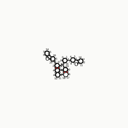 c1cc(-c2ccc3c(c2)oc2ccccc23)cc(N(c2cccc(-c3ccc4c(c3)oc3ccccc34)c2)c2ccccc2-c2cccc3cccc(C4CCCCC4)c23)c1